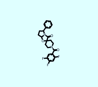 O=C(c1cc(F)c(F)cc1F)N1CCC2(CC1)OC1CCC(c3ccccc3)N1C2=O